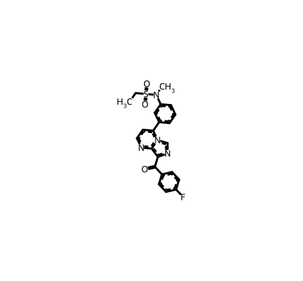 CCS(=O)(=O)N(C)c1cccc(-c2ccnc3c(C(=O)c4ccc(F)cc4)ncn23)c1